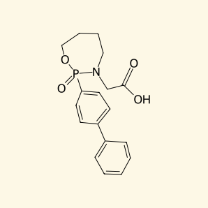 O=C(O)CN1CCCCOP1(=O)c1ccc(-c2ccccc2)cc1